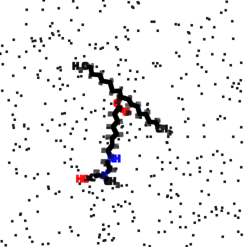 CCCCCCCCC(CCCCCCCC)OC(=O)CCCCCCCNCCN(C)CCO